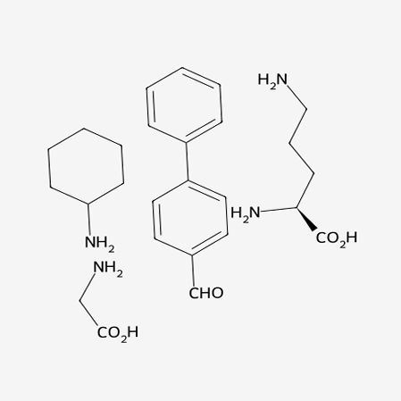 NC1CCCCC1.NCC(=O)O.NCCC[C@H](N)C(=O)O.O=Cc1ccc(-c2ccccc2)cc1